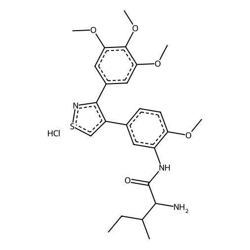 CCC(C)C(N)C(=O)Nc1cc(-c2csnc2-c2cc(OC)c(OC)c(OC)c2)ccc1OC.Cl